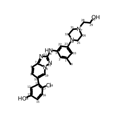 Cc1cc(Nc2nc3ccc(-c4cc(O)ccc4Cl)cn3n2)cc(N2CCN(CCO)CC2)c1